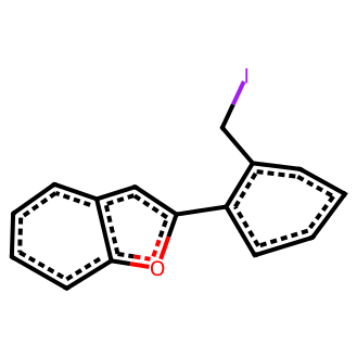 ICc1ccccc1-c1cc2ccccc2o1